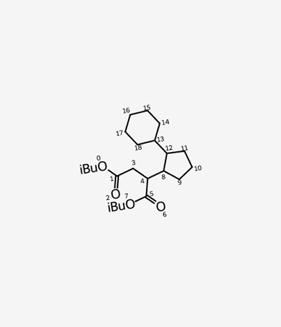 CC(C)COC(=O)CC(C(=O)OCC(C)C)C1CCCC1C1CCCCC1